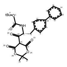 CC(C)(C)OC(=O)N[C@H](Cc1ccc(-c2ccccc2)cc1)C(=O)C1C(=O)OC(C)(C)OC1=O